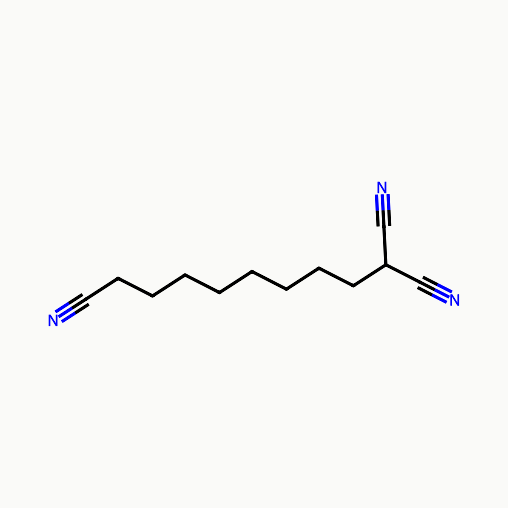 N#CCCCCCCCCC(C#N)C#N